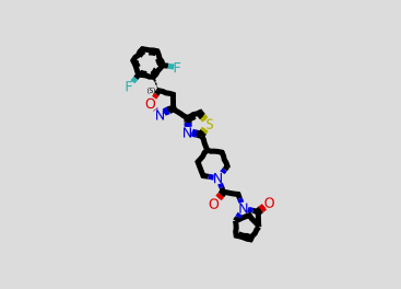 O=C(CN1C(=O)C2C=CC1C2)N1CCC(c2nc(C3=NO[C@H](c4c(F)cccc4F)C3)cs2)CC1